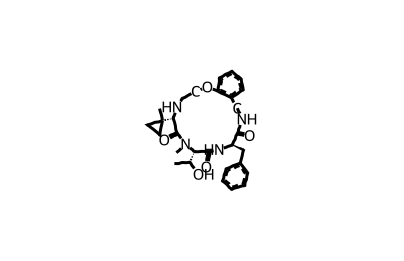 CC(O)[C@H]1C(=O)N[C@H](Cc2ccccc2)C(=O)NCc2ccccc2OCCN[C@@H](C2(C)CC2)C(=O)N1C